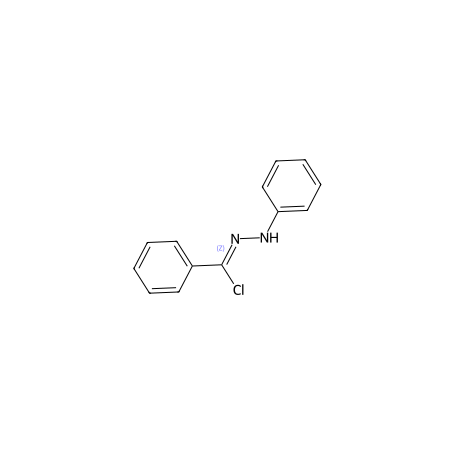 Cl/C(=N\Nc1ccccc1)c1ccccc1